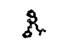 C=C(CCN(Cc1ccccc1)C(=O)OCc1ccccc1)OC